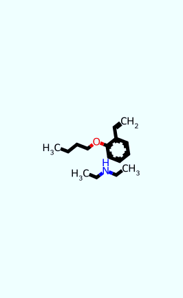 C=Cc1ccccc1OCCCC.CCNCC